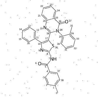 Cc1ccc(C(=O)Nc2nc(-c3ccccc3)c(-c3nc4ccccc4c(=O)n3-c3ccccc3C)s2)cc1